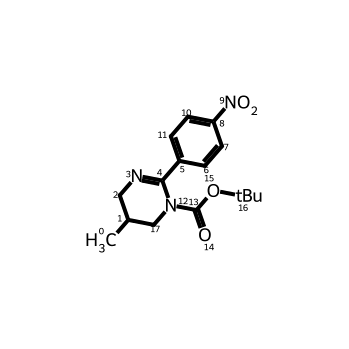 CC1CN=C(c2ccc([N+](=O)[O-])cc2)N(C(=O)OC(C)(C)C)C1